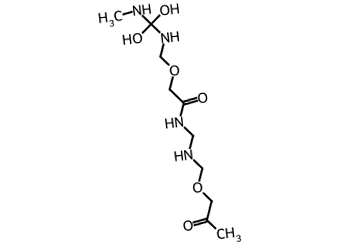 CNC(O)(O)NCOCC(=O)NCNCOCC(C)=O